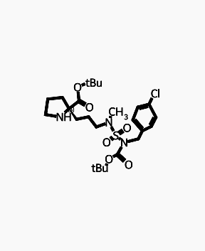 CN(CCC[C@]1(C(=O)OC(C)(C)C)CCCN1)S(=O)(=O)N(Cc1ccc(Cl)cc1)C(=O)OC(C)(C)C